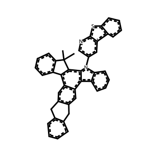 CC1(C)c2ccccc2-c2c1c1c(c3cc4c(cc23)Cc2ccccc2C4)c2ccccc2n1-c1cnc2sc3ccccc3c2c1